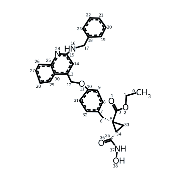 CCOC(=O)[C@@]1(Cc2ccc(OCc3cc(NCc4ccccc4)nc4ccccc34)cc2)C[C@@H]1C(=O)NO